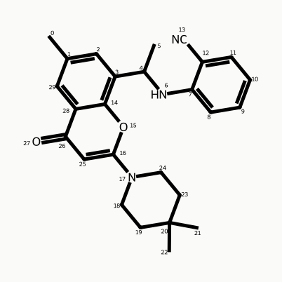 Cc1cc(C(C)Nc2ccccc2C#N)c2oc(N3CCC(C)(C)CC3)cc(=O)c2c1